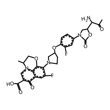 CC(=O)C(N)C1CN(c2ccc(OC3CCN(c4c(F)cc5c(=O)c(C(=O)O)cn6c5c4OCC6C)C3)c(F)c2)C(=O)O1